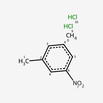 C.Cc1cccc([N+](=O)[O-])c1.Cl.Cl